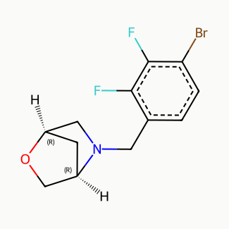 Fc1c(Br)ccc(CN2C[C@H]3C[C@@H]2CO3)c1F